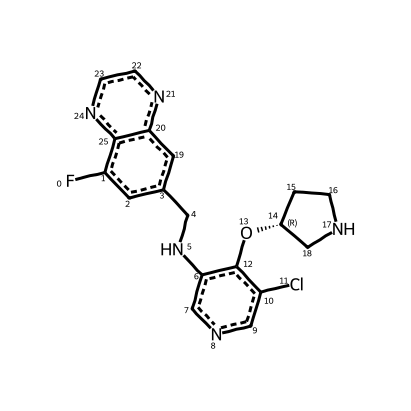 Fc1cc(CNc2cncc(Cl)c2O[C@@H]2CCNC2)cc2nccnc12